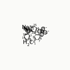 C=Cc1ccccc1.O=P([O-])([O-])[O-].[Na+].[Na+].[Na+].c1ccc(Oc2ccccc2)cc1